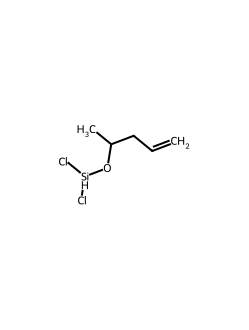 C=CCC(C)O[SiH](Cl)Cl